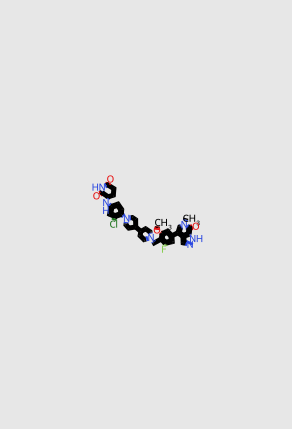 COc1cc(-c2cn(C)c(=O)c3[nH]ncc23)cc(F)c1CN1CCC(C2CCN(c3ccc(NC4CCC(=O)NC4=O)cc3Cl)CC2)CC1